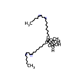 CCCCC/C=C\C/C=C\CCCCCCCCOCC(OCCCCCCCC/C=C\C/C=C\CCCCC)C(O)N(C(O)O)C(C)(O)O